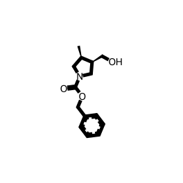 C[C@@H]1CN(C(=O)OCc2ccccc2)C[C@@H]1CO